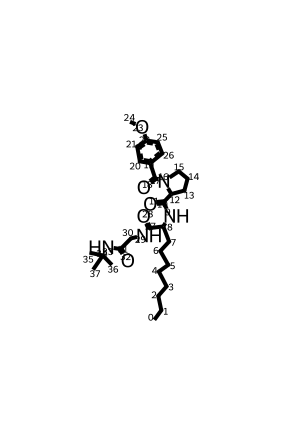 CCCCCCCCC(NC(=O)C1CCCN1C(=O)c1ccc(OC)cc1)C(=O)NCC(=O)NC(C)(C)C